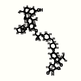 C#Cc1c(F)ccc2cc(O)cc(-c3ncc4c(N5CC6CCC(C5)N6)nc(OCC5(CN6CCC(CC7CCN(c8ccc9c(c8)n(C(C)C)c(=O)n9C8CCC(=O)NC8=O)CC7)CC6)CC5)nc4c3F)c12